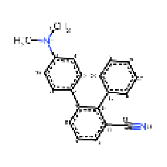 CN(C)c1ccc(-c2[c]ccc(C#N)c2-c2ccccc2)cc1